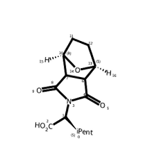 CCC[C@H](C)C(C(=O)O)N1C(=O)C2C(C1=O)[C@H]1CC[C@@H]2O1